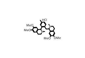 COc1cc2c(cc1OC)C(Cc1ccc(C)cc1C1c3cc(OC)c(OC)cc3CCN1C)N(C)CC2.Cl